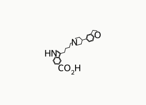 O=C(O)c1ccc2[nH]cc(CCCCN3CCC(c4ccc5c(c4)CCO5)CC3)c2c1